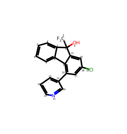 OC1(C(F)(F)F)c2ccccc2-c2c(-c3cccnc3)cc(Cl)cc21